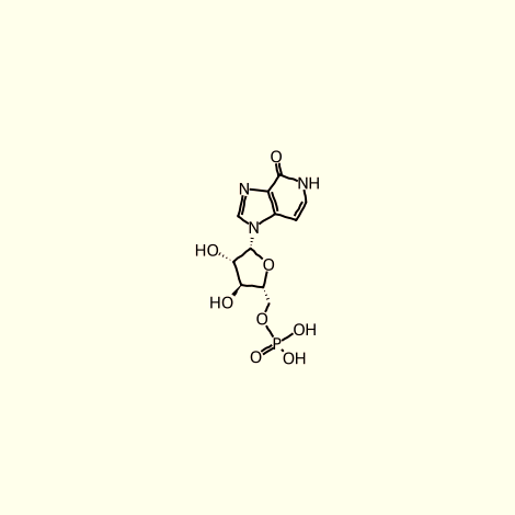 O=c1[nH]ccc2c1ncn2[C@@H]1O[C@H](COP(=O)(O)O)[C@@H](O)[C@@H]1O